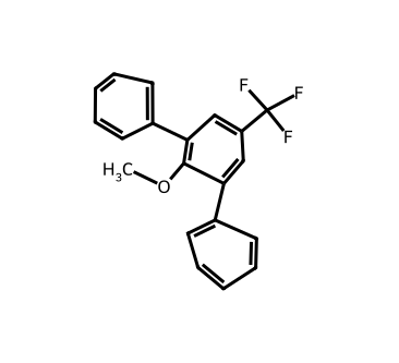 COc1c(-c2ccccc2)cc(C(F)(F)F)cc1-c1ccccc1